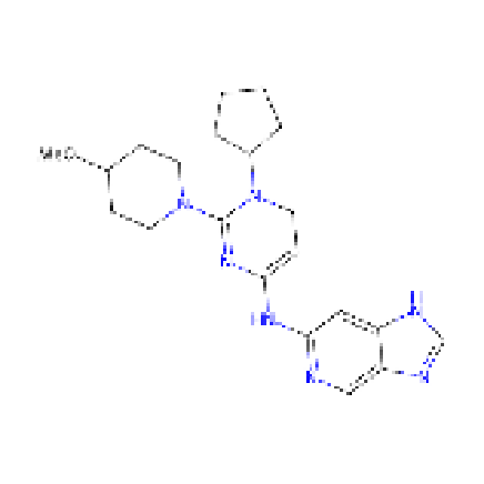 COC1CCN(C2=NC(Nc3cc4[nH]cnc4cn3)=CCN2C2CCCC2)CC1